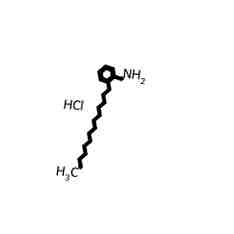 CCCCCCCCCCCCCCc1ccccc1CN.Cl